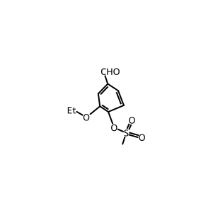 CCOc1cc(C=O)ccc1OS(C)(=O)=O